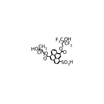 CC(O)(CCOC(=O)c1cc2ccc(S(=O)(=O)O)c3cc(C(=O)OCCC(O)(C(F)(F)F)C(F)(F)F)c4cccc1c4c23)C(F)(F)F